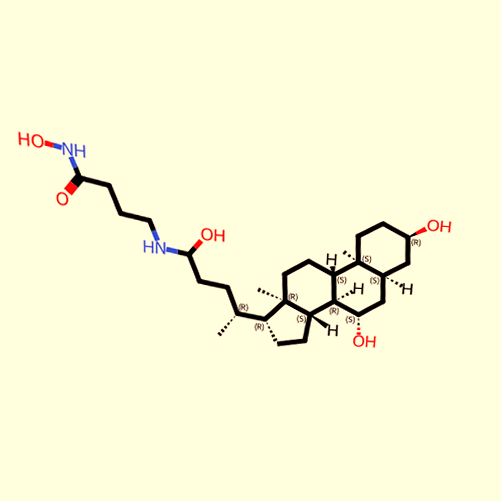 C[C@H](CCC(O)NCCCC(=O)NO)[C@H]1CC[C@H]2[C@@H]3[C@@H](O)C[C@@H]4C[C@H](O)CC[C@]4(C)[C@H]3CC[C@]12C